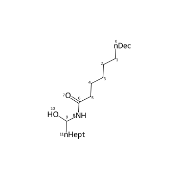 CCCCCCCCCCCCCCCC(=O)NC(O)CCCCCCC